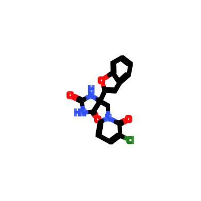 O=C1NC(=O)C(Cn2cccc(Cl)c2=O)(c2cc3ccccc3o2)N1